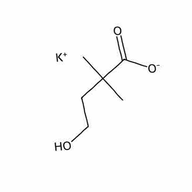 CC(C)(CCO)C(=O)[O-].[K+]